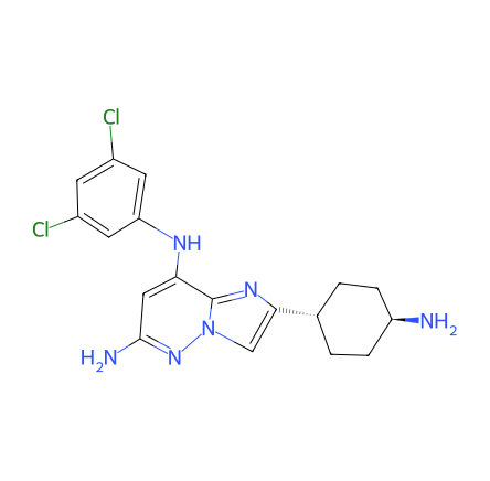 Nc1cc(Nc2cc(Cl)cc(Cl)c2)c2nc([C@H]3CC[C@H](N)CC3)cn2n1